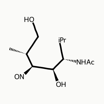 CC(=O)N[C@@H](C(C)C)[C@@H](O)[C@@H](N=O)[C@H](C)CO